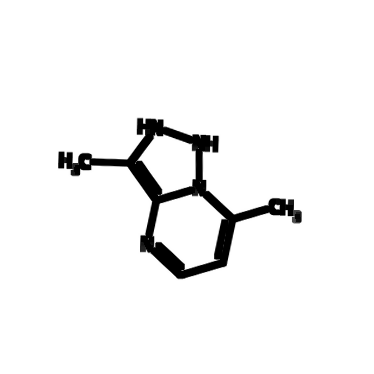 CC1=CC=NC2=C(C)NNN12